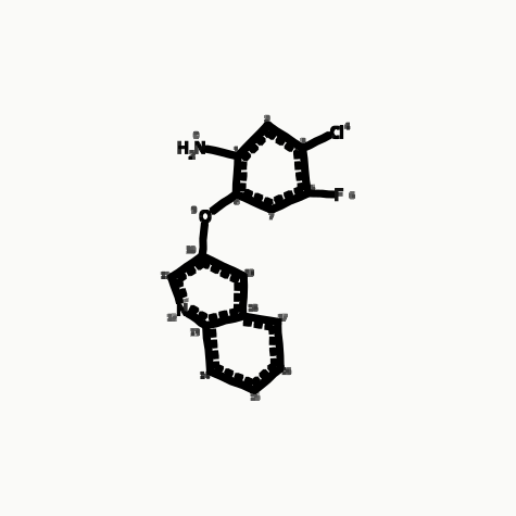 Nc1cc(Cl)c(F)cc1Oc1cnc2ccccc2c1